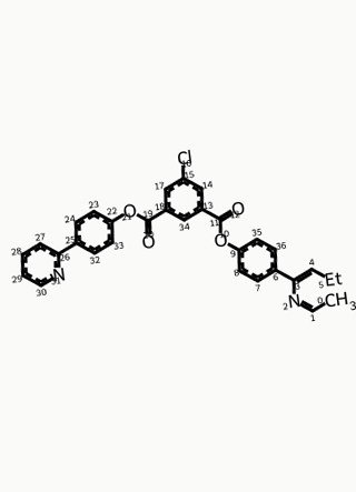 C/C=N\C(=C/CC)c1ccc(OC(=O)c2cc(Cl)cc(C(=O)Oc3ccc(-c4ccccn4)cc3)c2)cc1